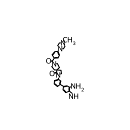 CN1CCN(c2ccc(C(=O)N3CCC4(CC3)CCN(c3cccc(-c5ccc(C=N)c(N)c5)c3)C4=O)cc2)CC1